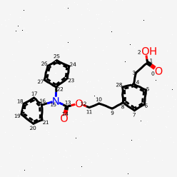 O=C(O)Cc1cccc(CCCOC(=O)N(c2ccccc2)c2ccccc2)c1